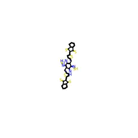 N=C1C(/C=c2\ccc(=C3C(=S)c4ccccc4C3=S)s2)=C(N=S)C(N)=C(/C=c2\ccc(=C3C(=S)c4ccccc4C3=S)s2)/C1=N/S